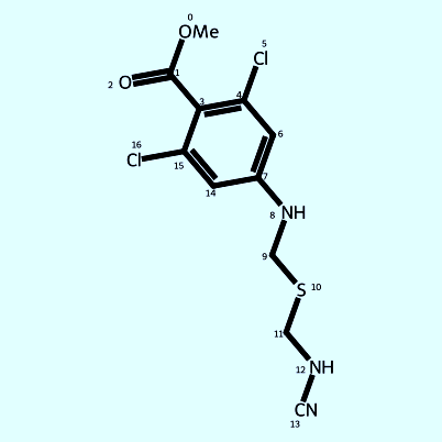 COC(=O)c1c(Cl)cc(NCSCNC#N)cc1Cl